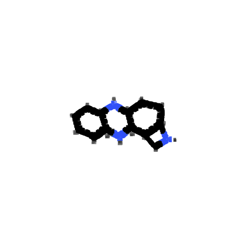 C1=Nc2ccc3nc4ccccc4nc3c21